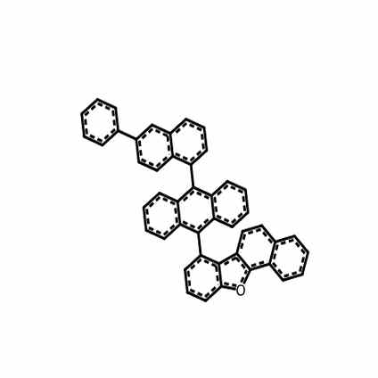 c1ccc(-c2ccc3c(-c4c5ccccc5c(-c5cccc6oc7c8ccccc8ccc7c56)c5ccccc45)cccc3c2)cc1